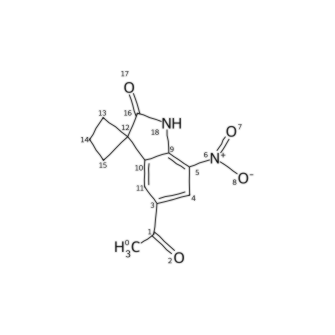 CC(=O)c1cc([N+](=O)[O-])c2c(c1)C1(CCC1)C(=O)N2